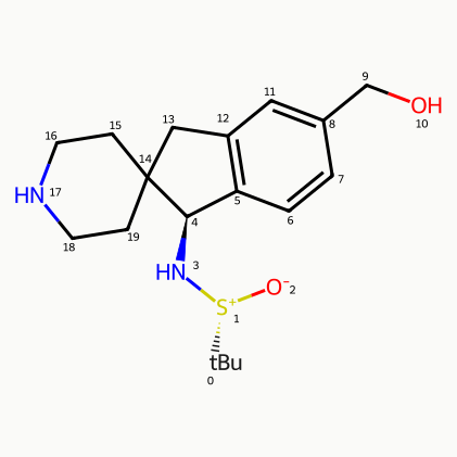 CC(C)(C)[S@@+]([O-])N[C@@H]1c2ccc(CO)cc2CC12CCNCC2